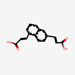 O=C(O)/C=C/c1ccc2c(/C=C/C(=O)O)cccc2c1